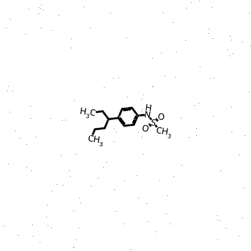 CCCC(CC)c1ccc(NS(C)(=O)=O)cc1